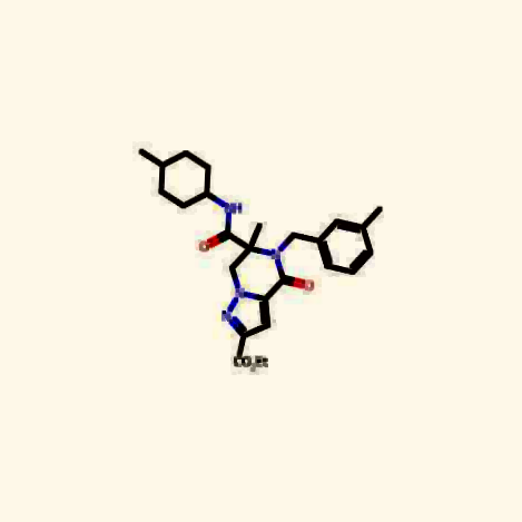 CCOC(=O)c1cc2n(n1)CC(C)(C(=O)NC1CCC(C)CC1)N(Cc1cccc(C)c1)C2=O